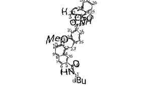 CCC(C)CNC(=O)c1ccc2cccc(Cc3ccc(C(=O)NS(=O)(=O)c4ccccc4C)cc3OC)c2c1